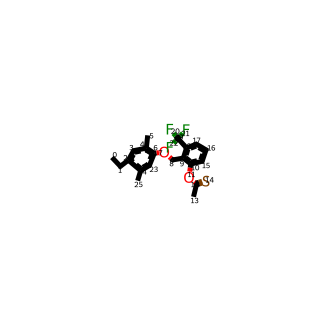 CCc1cc(C)c(OCc2c(OC(C)=S)cccc2C(F)(F)F)cc1C